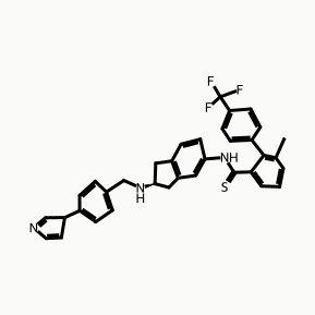 Cc1cccc(C(=S)Nc2ccc3c(c2)C[C@@H](NCc2ccc(C4C=CN=C4)cc2)C3)c1-c1ccc(C(F)(F)F)cc1